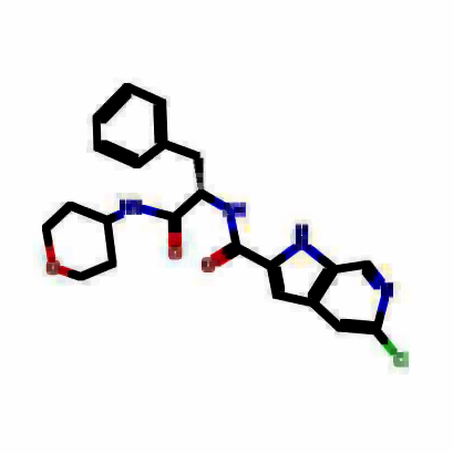 O=C(N[C@@H](Cc1ccccc1)C(=O)NC1CCOCC1)c1cc2cc(Cl)ncc2[nH]1